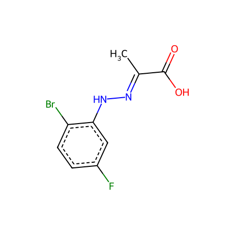 C/C(=N\Nc1cc(F)ccc1Br)C(=O)O